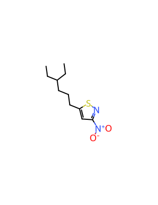 CCC(CC)CCCc1cc([N+](=O)[O-])ns1